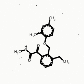 CCc1cccc(C(=O)C(=O)NC)c1COc1ccc(C)cc1C